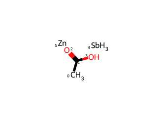 CC(=O)O.[SbH3].[Zn]